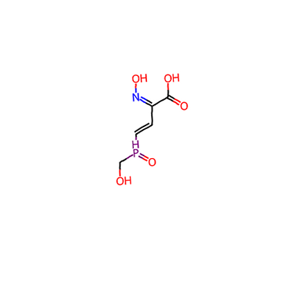 O=C(O)C(C=C[PH](=O)CO)=NO